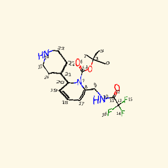 CC(C)(C)OC(=O)N1C(CNC(=O)C(F)(F)F)=CC=CC1C1CCNCC1